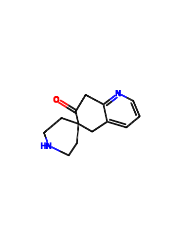 O=C1Cc2ncccc2CC12CCNCC2